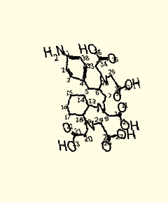 Nc1ccc(CC(CN(CC(=O)O)C2CCCCC2N(CC(=O)O)CC(=O)O)N(CC(=O)O)CC(=O)O)cc1